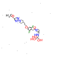 COCc1cnc(N2CCC(CCCOc3cc(F)c(CC(=O)N4CC[C@@H](CNCC(O)(CO)CO)C4)c(F)c3)CC2)nc1